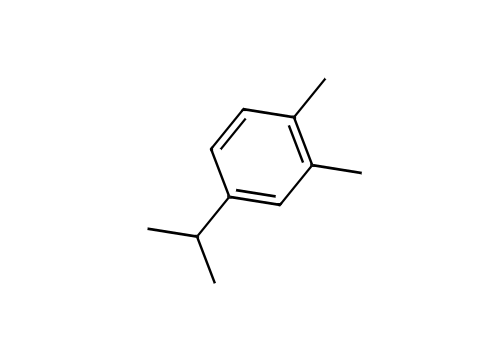 [CH2]C(C)c1ccc(C)c(C)c1